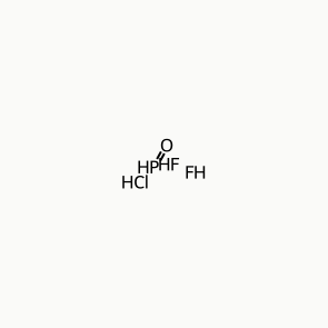 Cl.F.F.O=P